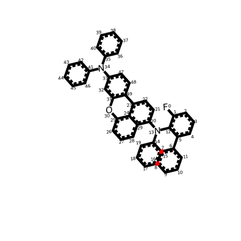 Fc1cccc(-c2ccccc2)c1N(c1ccccc1)c1ccc2c3c(cccc13)Oc1cc(N(c3ccccc3)c3ccccc3)ccc1-2